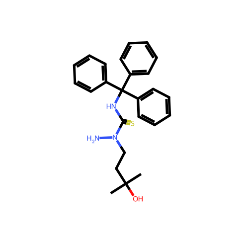 CC(C)(O)CCN(N)C(=S)NC(c1ccccc1)(c1ccccc1)c1ccccc1